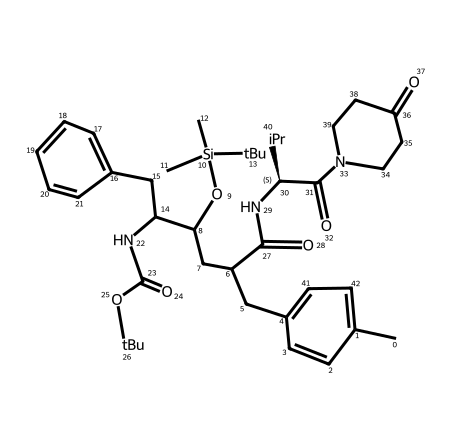 Cc1ccc(CC(CC(O[Si](C)(C)C(C)(C)C)C(Cc2ccccc2)NC(=O)OC(C)(C)C)C(=O)N[C@H](C(=O)N2CCC(=O)CC2)C(C)C)cc1